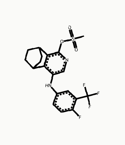 CS(=O)(=O)Oc1ncc(Nc2ccc(F)c(C(F)(F)F)c2)c2c1C1CCC2CC1